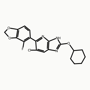 Fc1c(-c2nc3[nH]c(OC4CCCCC4)nc3cc2Cl)ccc2c1OCO2